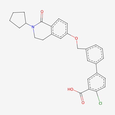 O=C(O)c1cc(-c2cccc(COc3ccc4c(c3)CCN(C3CCCC3)C4=O)c2)ccc1Cl